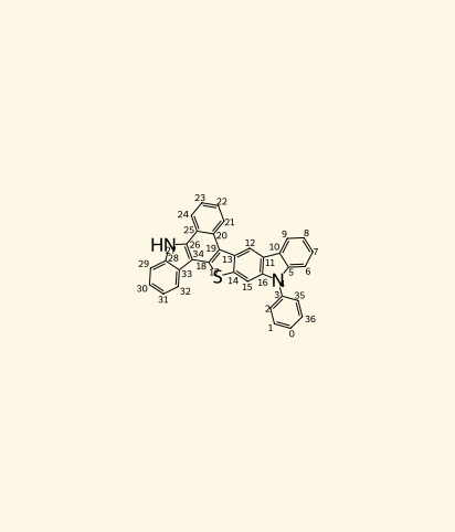 c1ccc(-n2c3ccccc3c3cc4c(cc32)sc2c4c3ccccc3c3[nH]c4ccccc4c32)cc1